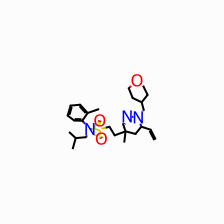 C=CC1CC(C)(CCS(=O)(=O)N(CC(C)C)c2ccccc2C)C=NN1CC1CCOCC1